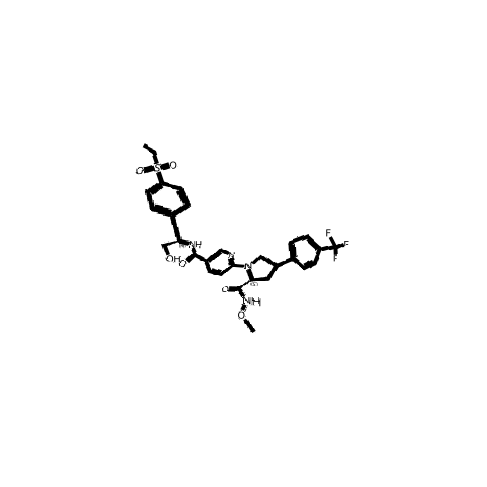 CCS(=O)(=O)c1ccc([C@H](CO)NC(=O)c2ccc(N3CC(c4ccc(C(F)(F)F)cc4)C[C@H]3C(=O)NOC)nc2)cc1